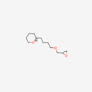 C(CC[SiH]1CCCCO1)COCC1CO1